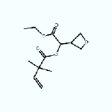 C=CC(C)(C)C(=O)OC(C(=O)OCC)C1COC1